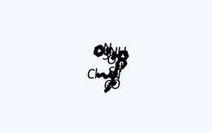 CCOC(=O)c1nc(N2CCc3cccc(C(=O)Nc4nc5ccccc5s4)c3C2)sc1CCCCl